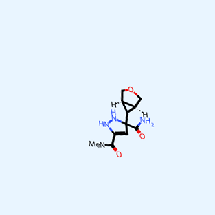 CNC(=O)C1=CC(C(N)=O)(C2[C@H]3COC[C@@H]23)NN1